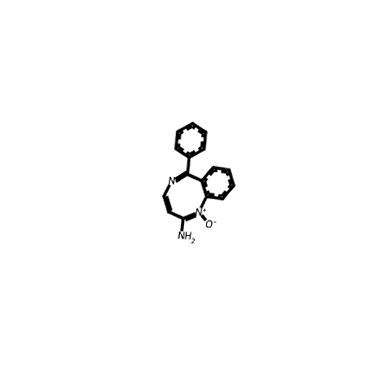 NC1=[N+]([O-])c2ccccc2C(c2ccccc2)=NC=C1